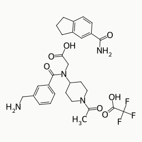 CC(=O)N1CCC(N(CC(=O)O)C(=O)c2cccc(CN)c2)CC1.NC(=O)c1ccc2c(c1)CCC2.O=C(O)C(F)(F)F